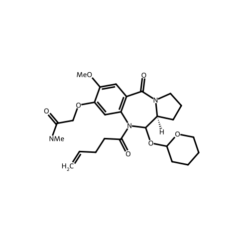 C=CCCC(=O)N1c2cc(OCC(=O)NC)c(OC)cc2C(=O)N2CCC[C@H]2C1OC1CCCCO1